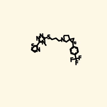 Cn1c(SCCCN2CCC3(C[C@H]3c3ccc(C(F)(F)F)cc3)C2)nnc1-c1nccs1